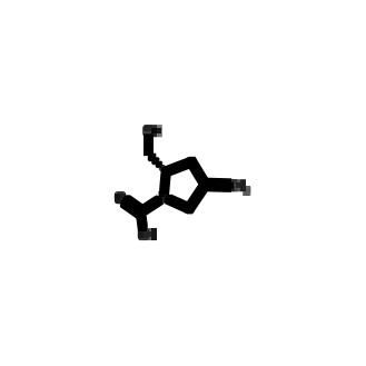 C=C1C[C@@H](CO)N(C(=O)O)C1